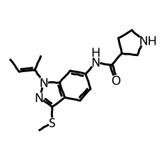 C/C=C(\C)n1nc(SC)c2ccc(NC(=O)C3CCNC3)cc21